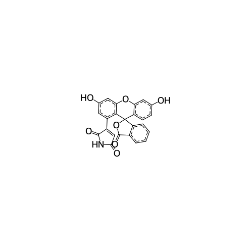 O=C1C=C(c2cc(O)cc3c2C2(OC(=O)c4ccccc42)c2ccc(O)cc2O3)C(=O)N1